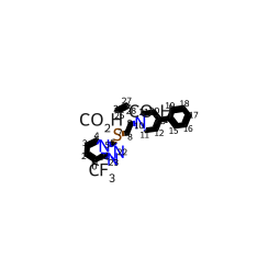 FC(F)(F)c1cccn2c(SCCN3CC=C(c4ccccc4)CC3)nnc12.O=C(O)/C=C\C(=O)O